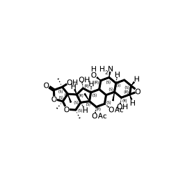 CC(=O)O[C@H]1C2C([C@@H](O)[C@@H](N)[C@H]3C[C@@H]4O[C@@H]4[C@H](O)[C@]23C)[C@@H]2[C@@H](O)[C@@H]3[C@H]([C@H](C)O[C@@]4(C)OC(=O)[C@@](C)(O)[C@]34C)[C@@]2(C)[C@H]1OC(C)=O